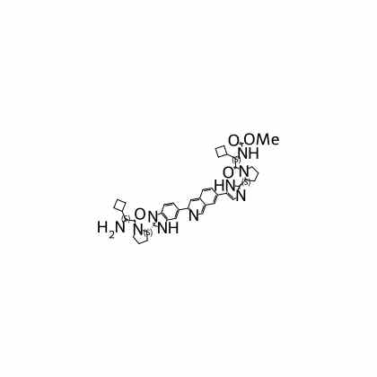 COC(=O)N[C@H](C(=O)N1CCC[C@H]1c1ncc(-c2ccc3cc(-c4ccc5nc([C@@H]6CCCN6C(=O)[C@@H](N)C6CCC6)[nH]c5c4)ncc3c2)[nH]1)C1CCC1